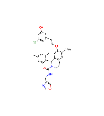 COc1cc2c(cc1OCCc1cc(O)cc(Cl)c1)C(c1ccc(C)cc1C)N(C(=O)NCc1cocn1)CC2